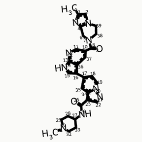 Cc1cn2c(n1)CN(C(=O)c1cnc3[nH]cc(-c4ccn5ncc(C(=O)NC6CCN(C)CC6)c5c4)c3c1)CC2